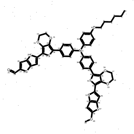 CCCCCCOc1ccc(N(c2ccc(-c3sc(-c4cc5sc(C=O)cc5s4)c4c3OCCO4)cc2)c2ccc(-c3sc(-c4cc5sc(OC)cc5s4)c4c3OCCO4)cc2)cc1